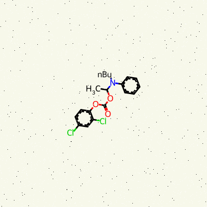 CCCCN(c1ccccc1)C(C)OC(=O)Oc1ccc(Cl)cc1Cl